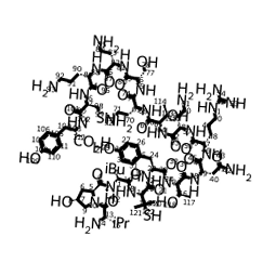 CC[C@H](C)[C@H](NC(=O)[C@@H]1C[C@@H](O)CN1C(=O)[C@@H](N)C(C)C)C(=O)N[C@H](C(=O)N[C@@H](Cc1ccc(O)cc1)C(=O)N[C@H](C(=O)N[C@@H](CC(N)=O)C(=O)N[C@@H](CCCNC(=N)N)C(=O)N[C@@H](CCN)C(=O)N[C@H](C(=O)N[C@H](CCN)C(=O)N[C@@H](CO)C(=O)N[C@@H](CCN)C(=O)N[C@@H](CCCN)C(=O)N[C@@H](CS)C(=O)N[C@@H](Cc1ccc(O)cc1)C(=O)O)[C@@H](C)O)[C@@H](C)O)C(C)(C)S